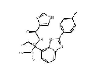 CC[C@@](NC(=O)c1c[nH]cn1)(c1cccc2nc(-c3ccc(C)cc3)oc12)[C@H](C)O